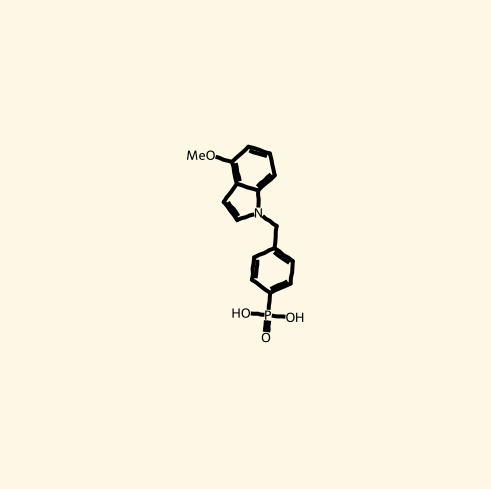 COc1cccc2c1ccn2Cc1ccc(P(=O)(O)O)cc1